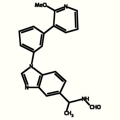 COc1ncccc1-c1cccc(-n2cnc3cc(C(C)NC=O)ccc32)c1